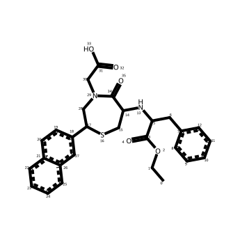 CCOC(=O)C(Cc1ccccc1)NC1CSC(c2ccc3ccccc3c2)CN(CC(=O)O)C1=O